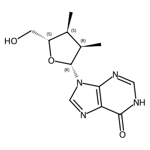 C[C@@H]1[C@H](C)[C@@H](CO)O[C@H]1n1cnc2c(=O)[nH]cnc21